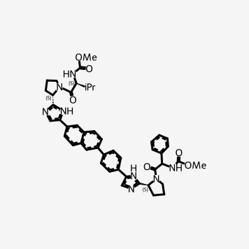 COC(=O)NC(C(=O)N1CCC[C@H]1c1ncc(-c2ccc(-c3ccc4cc(-c5cnc([C@@H]6CCCN6C(=O)[C@@H](NC(=O)OC)C(C)C)[nH]5)ccc4c3)cc2)[nH]1)c1ccccc1